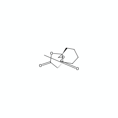 O=C1C[C@@]23CCCC[C@@]2(COC3=O)O1